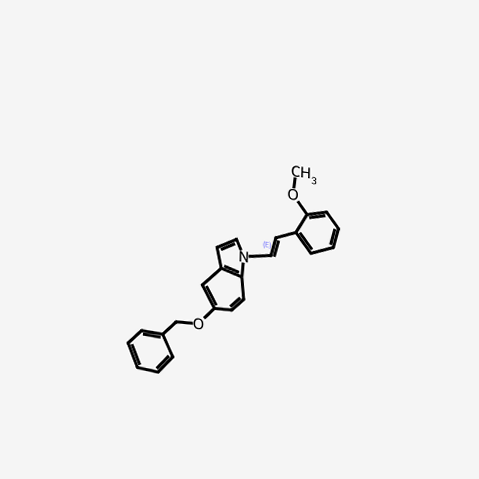 COc1ccccc1/C=C/n1ccc2cc(OCc3ccccc3)ccc21